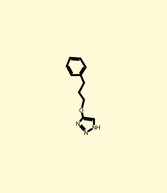 c1ccc(CCCOc2c[nH]nn2)cc1